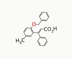 Cc1ccc(OCc2ccccc2)c(C(=CC(=O)O)c2ccccc2)c1